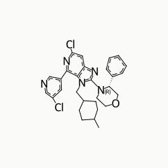 CC1CCC(Cn2c(N3CCOC[C@H]3c3ccccc3)nc3cc(Cl)nc(-c4cncc(Cl)c4)c32)CC1